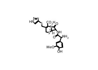 COc1cc(C(N)C(=O)NC2C(=O)N3C(C(=O)O)=C(CSc4c[nH]nn4)CS[C@@H]23)ccc1O